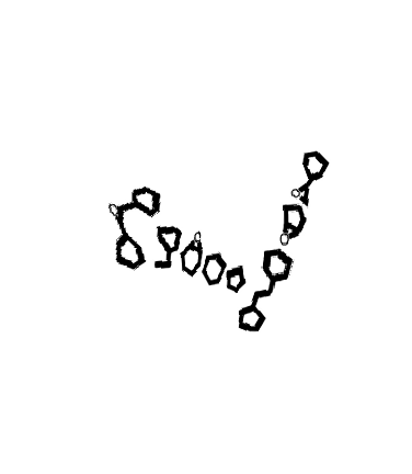 C(=Cc1ccccc1)c1ccccc1.C1=CCCC1.C1=CCCCC1.C1CC2OC2C1.C1CCC2OC2C1.C=Cc1ccccc1.c1ccc(C2CO2)cc1.c1ccc(C2OC2c2ccccc2)cc1